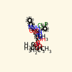 C=C(C)OP(=O)(OC[C@H](O)C[C@@H](COC(=O)Nc1cc2ccccc2cn1)N(C)C(=O)NCc1cccc(F)c1Cl)OC(C)(C)C